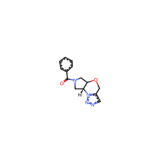 O=C(c1ccccc1)N1CC2OCc3cnnn3[C@@H]2C1